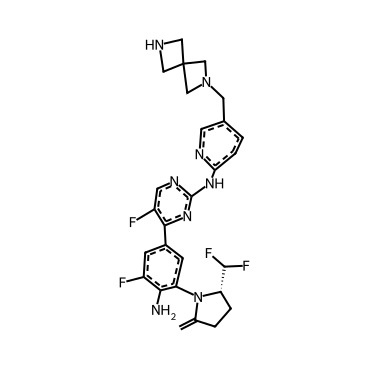 C=C1CC[C@@H](C(F)F)N1c1cc(-c2nc(Nc3ccc(CN4CC5(CNC5)C4)cn3)ncc2F)cc(F)c1N